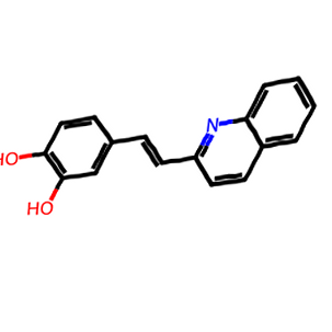 Oc1ccc(C=Cc2ccc3ccccc3n2)cc1O